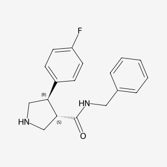 O=C(NCc1ccccc1)[C@@H]1CNC[C@H]1c1ccc(F)cc1